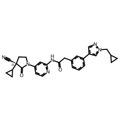 N#C[C@@]1(C2CC2)CCN(c2ccnc(NC(=O)Cc3cccc(-c4cnn(CC5CC5)c4)c3)c2)C1=O